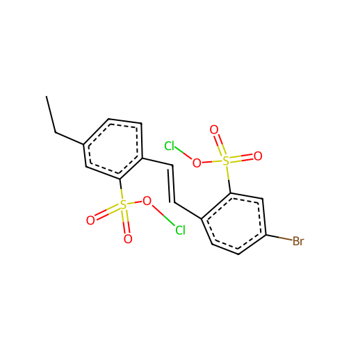 CCc1ccc(/C=C/c2ccc(Br)cc2S(=O)(=O)OCl)c(S(=O)(=O)OCl)c1